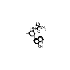 C[C@H]1C[C@@H](NC(=O)C2(N)COC2)CN(c2ccc(C#N)c3ncccc23)C1